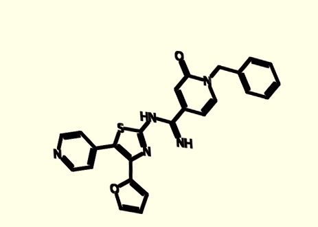 N=C(Nc1nc(-c2ccco2)c(-c2ccncc2)s1)c1ccn(Cc2ccccc2)c(=O)c1